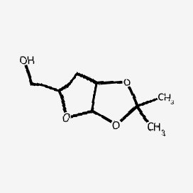 CC1(C)OC2CC(CO)OC2O1